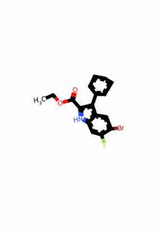 CCOC(=O)c1[nH]c2cc(F)c(Br)cc2c1-c1ccccc1